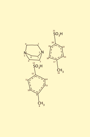 C1CN2CCN1CC2.Cc1ccc(S(=O)(=O)O)cc1.Cc1ccc(S(=O)(=O)O)cc1